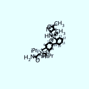 CCCC(=O)[N+](Cc1ccc(-c2ccccc2S(=O)(=O)Nc2noc(C)c2C)cc1)(C(C)C)[C@H](C(N)=O)C(C)C